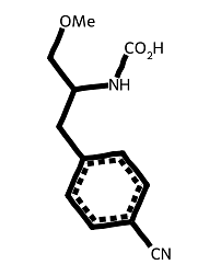 COCC(Cc1ccc(C#N)cc1)NC(=O)O